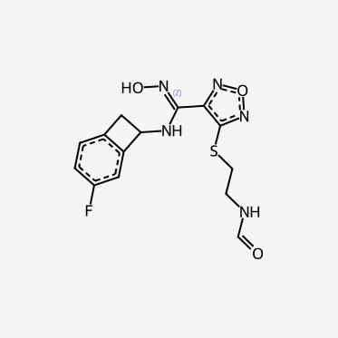 O=CNCCSc1nonc1/C(=N/O)NC1Cc2ccc(F)cc21